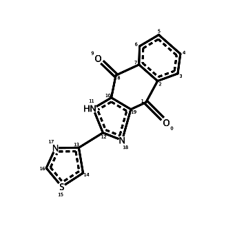 O=C1c2ccccc2C(=O)c2[nH]c(-c3cscn3)nc21